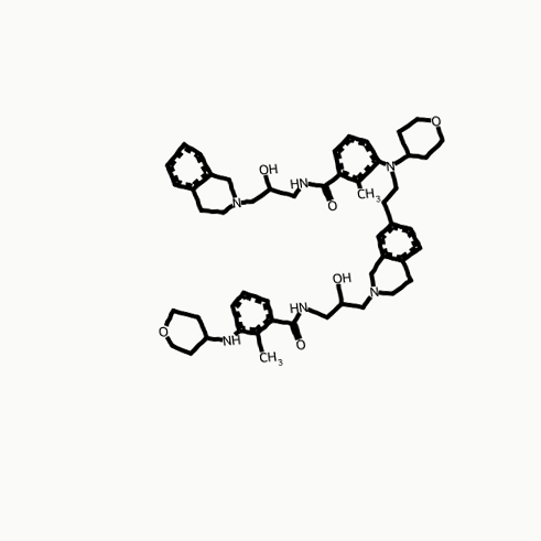 Cc1c(NC2CCOCC2)cccc1C(=O)NCC(O)CN1CCc2ccc(CCN(c3cccc(C(=O)NCC(O)CN4CCc5ccccc5C4)c3C)C3CCOCC3)cc2C1